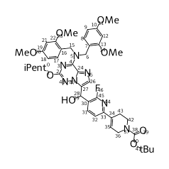 CCC[C@H](C)Oc1nc(N(Cc2ccc(OC)cc2OC)Cc2ccc(OC)cc2OC)c2ncc(C(O)c3ccc(C4=CCN(C(=O)OC(C)(C)C)CC4)nc3F)n2n1